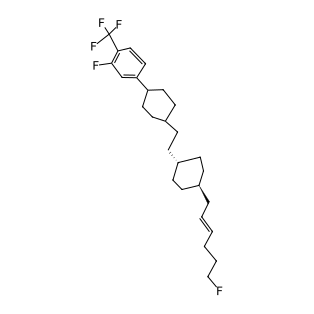 FCCC/C=C/C[C@H]1CC[C@H](CCC2CCC(c3ccc(C(F)(F)F)c(F)c3)CC2)CC1